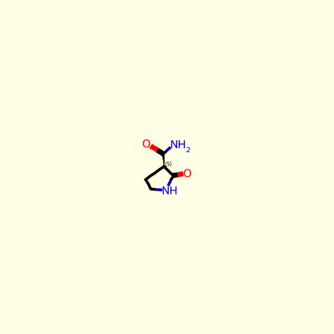 NC(=O)[C@@H]1CCNC1=O